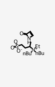 CCCC[N+](CC)(CCCC)C(C)CCS(=O)(=O)[O-].O=C1C=CN1